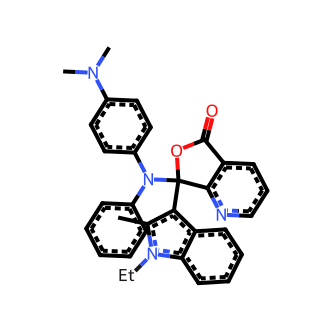 CCn1c(C)c(C2(N(c3ccccc3)c3ccc(N(C)C)cc3)OC(=O)c3cccnc32)c2ccccc21